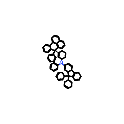 C1=CCC(C2(C3CC=CCC3)C3=C(CCC=C3)C3C=CC(N(c4ccccc4)C4C=C([C@@]5(c6ccccc6)c6ccccc6-c6cccc7cccc5c67)CCC4)=CC32)C=C1